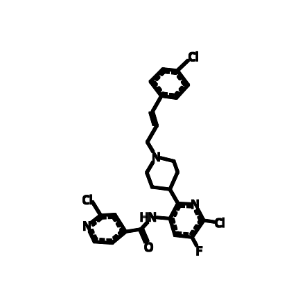 O=C(Nc1cc(F)c(Cl)nc1C1CCN(CC=Cc2ccc(Cl)cc2)CC1)c1ccnc(Cl)c1